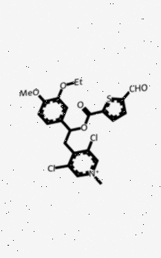 CCOc1cc(C(Cc2c(Cl)c[n+](C)cc2Cl)OC(=O)c2ccc(C=O)s2)ccc1OC